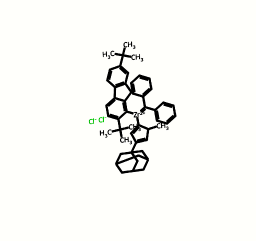 CC1C=C(C23CC4CC(CC(C4)C2)C3)C=[C]1[Zr+2](=[C](c1ccccc1)c1ccccc1)[c]1c(C(C)(C)C)ccc2c1Cc1cc(C(C)(C)C)ccc1-2.[Cl-].[Cl-]